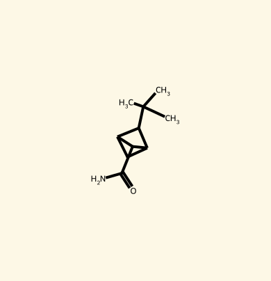 CC(C)(C)C1C2CC1C2C(N)=O